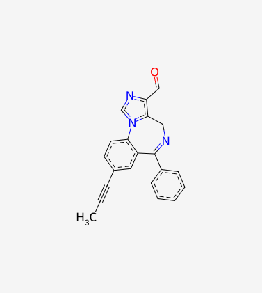 CC#Cc1ccc2c(c1)C(c1ccccc1)=NCc1c(C=O)ncn1-2